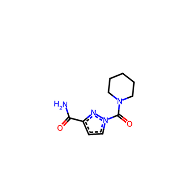 NC(=O)c1ccn(C(=O)N2CCCCC2)n1